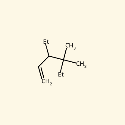 C=CC(CC)C(C)(C)CC